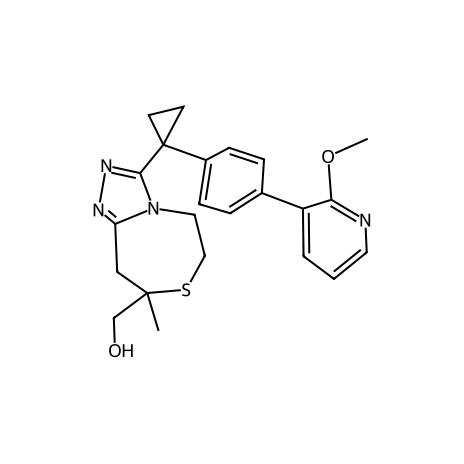 COc1ncccc1-c1ccc(C2(c3nnc4n3CCSC(C)(CO)C4)CC2)cc1